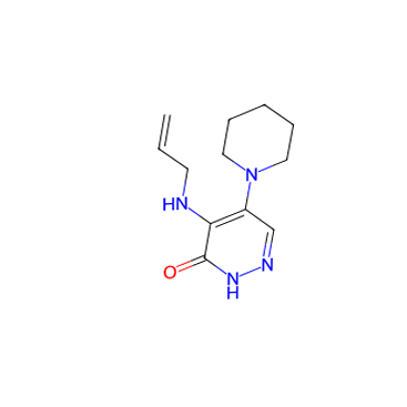 C=CCNc1c(N2CCCCC2)cn[nH]c1=O